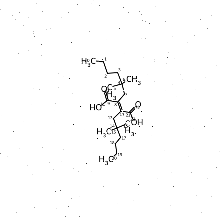 CCCCC(C)(C)CC(C(=O)O)=C(CC(C)(C)CCCC)C(=O)O